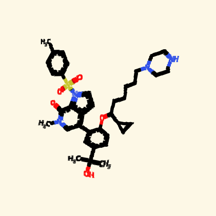 Cc1ccc(S(=O)(=O)n2ccc3c(-c4cc(C(C)(C)O)ccc4OC(CCCCCN4CCNCC4)C4CC4)cn(C)c(=O)c32)cc1